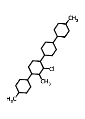 CC1CCC(C2CCC(C3CCC(C4CCC(C)CC4)C(C)C3Cl)CC2)CC1